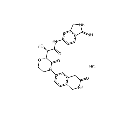 Cl.N=C1NCc2cc(NC(=O)[C@H](O)[C@H]3OCCN(c4ccc5c(c4)CC(=O)NC5)C3=O)ccc21